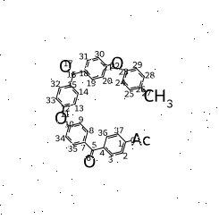 CC(=O)C1=C=C=C(C(=O)c2ccc(Oc3ccc(C(=O)c4ccc(Oc5ccc(C)cc5)cc4)cc3)cc2)C=C1